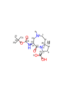 CN1CC[C@H]2CC[C@@H](C(=O)O)N2C(=O)[C@@H](NC(=O)OC(C)(C)C)C1